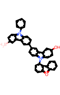 Bc1ccc2c(c1)c1cc(-c3ccc4c(c3)c3cc(O)ccc3n4-c3cccc4oc5ccccc5c34)ccc1n2-c1ccccc1